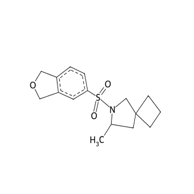 CC1CC2(CCC2)CN1S(=O)(=O)c1ccc2c(c1)COC2